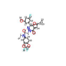 CCN(C(=O)Cn1nc(-c2cc(F)cc(OC)c2)c2oc(C3CC3)cc2c1=O)c1ccc2c(c1)OC(F)(F)O2